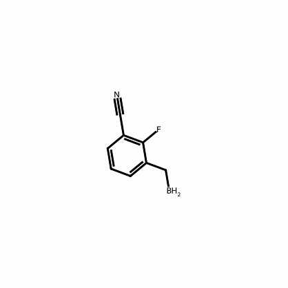 BCc1cccc(C#N)c1F